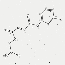 CCCCC(CC)COC(=O)N=NC(=O)Oc1cccc(C)c1